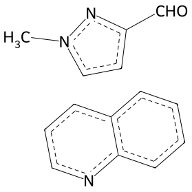 Cn1ccc(C=O)n1.c1ccc2ncccc2c1